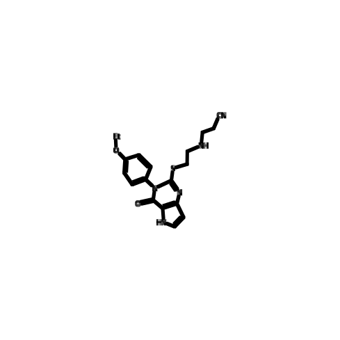 CCOc1ccc(-n2c(SCCNCCC#N)nc3cc[nH]c3c2=O)cc1